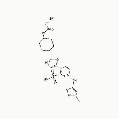 Cc1cc(Nc2ccc(-c3cnc([C@H]4CC[C@H](NC(=O)OC(C)C)CC4)s3)c(S(=O)(=O)C(C)C)c2)sn1